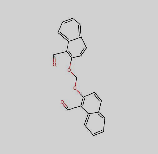 O=Cc1c(OCOc2ccc3ccccc3c2C=O)ccc2ccccc12